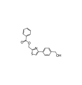 O=C(OCc1nc(-c2ccc(CO)cc2)cs1)c1ccccc1